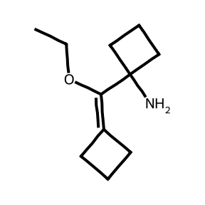 CCOC(=C1CCC1)C1(N)CCC1